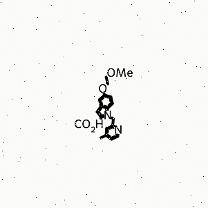 COCCOc1ccc2c(c1)cc(C(=O)O)n2Cc1cc(C)ccn1